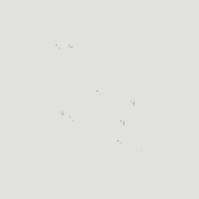 Cc1cn(-c2nccc3[nH]c(-c4n[nH]c5ccc(-c6cn[nH]c6)cc45)cc23)cn1